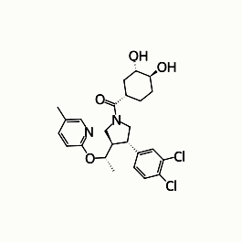 Cc1ccc(O[C@@H](C)[C@H]2CN(C(=O)[C@H]3CC[C@H](O)[C@@H](O)C3)C[C@@H]2c2ccc(Cl)c(Cl)c2)nc1